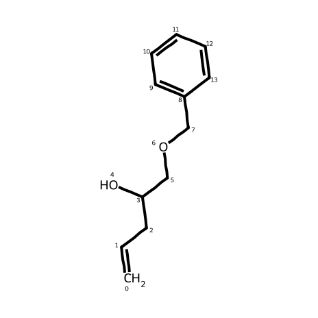 C=CCC(O)COCc1ccccc1